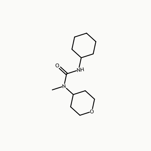 CN(C(=O)NC1CCCCC1)C1CCOCC1